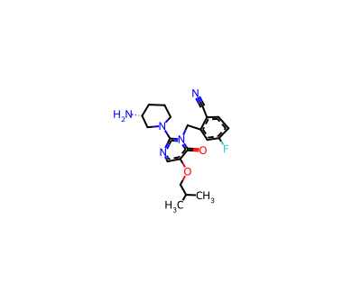 CC(C)COc1cnc(N2CCC[C@@H](N)C2)n(Cc2cc(F)ccc2C#N)c1=O